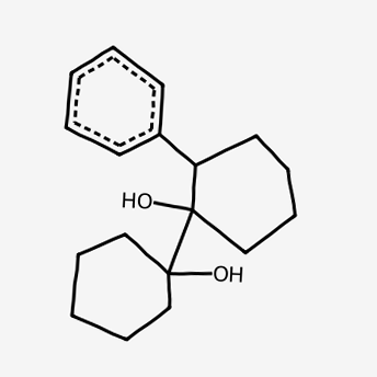 OC1(C2(O)CCCCC2c2ccccc2)CCCCC1